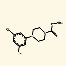 CC(C)(C)OC(=O)N1CCN(c2cc(Cl)cc(C#N)c2)CC1